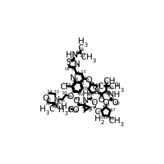 C=C[C@@H]1CC1(NC(=O)[C@@H]1C[C@@H](Oc2cc(-c3csc(NC(C)C)n3)nc3c(Cl)c(OCCN4CCOCC4(C)C)ccc23)CN1C(=O)[C@@H](NC(=O)O[C@@H]1CC[C@H](C)C1)C(C)(C)C)C(=O)OC